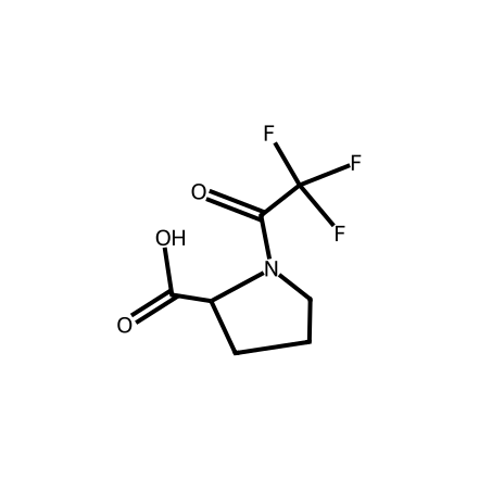 O=C(O)C1CCCN1C(=O)C(F)(F)F